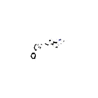 CCN(/C=N\c1ncnc2c1ncn2CCOC[P@@]1(=O)OCC[C@@H](c2cccc(Cl)c2)O1)CC